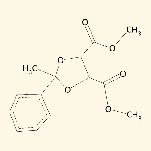 COC(=O)C1OC(C)(c2ccccc2)OC1C(=O)OC